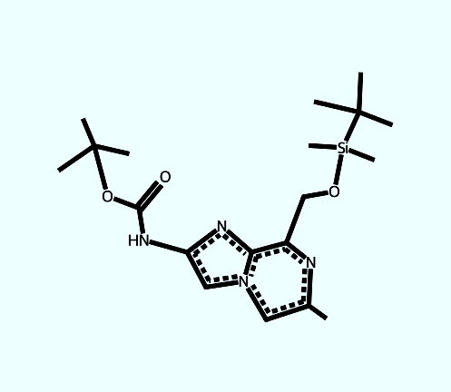 Cc1cn2cc(NC(=O)OC(C)(C)C)nc2c(CO[Si](C)(C)C(C)(C)C)n1